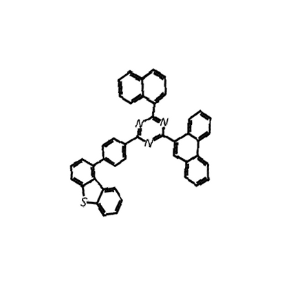 c1ccc2c(-c3nc(-c4ccc(-c5cccc6sc7ccccc7c56)cc4)nc(-c4cc5ccccc5c5ccccc45)n3)cccc2c1